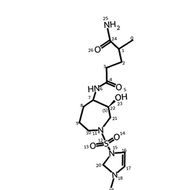 CC(C[CH]C(=O)NC1CCCN(S(=O)(=O)N2C=CN(C)C2)C[C@@H]1O)C(N)=O